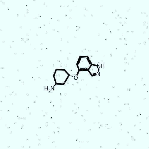 N[C@H]1CCC[C@H](Oc2cccc3[nH]ncc23)C1